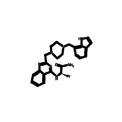 CC(C)[C@H](Nc1nc(CN2CCN(Cc3cccc4cc[nH]c34)CC2)nc2ccccc12)C(N)=O